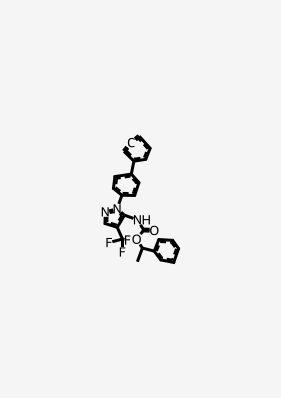 CC(OC(=O)Nc1c(C(F)(F)F)cnn1-c1ccc(-c2ccccc2)cc1)c1ccccc1